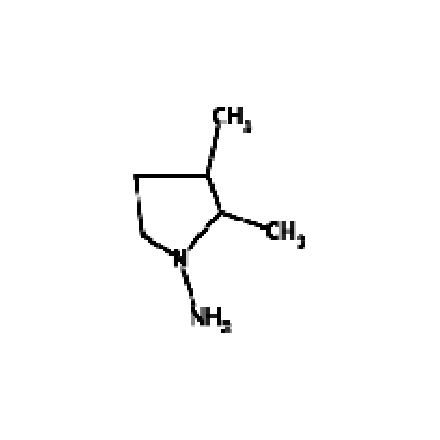 CC1CCN(N)C1C